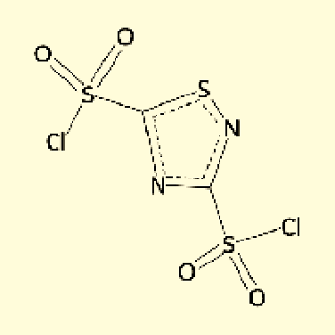 O=S(=O)(Cl)c1nsc(S(=O)(=O)Cl)n1